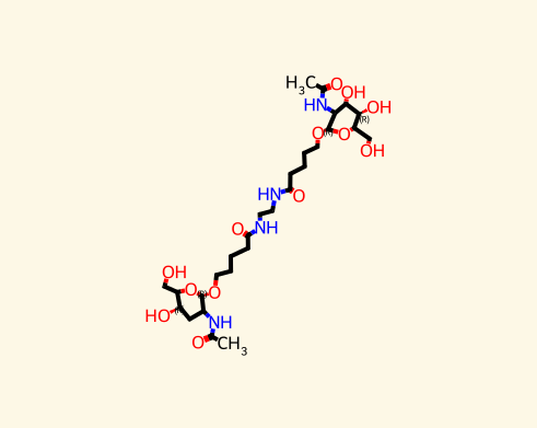 CC(=O)NC1C[C@@H](O)C(CO)O[C@H]1OCCCCC(=O)NCCNC(=O)CCCCO[C@@H]1OC(CO)[C@H](O)C(O)C1NC(C)=O